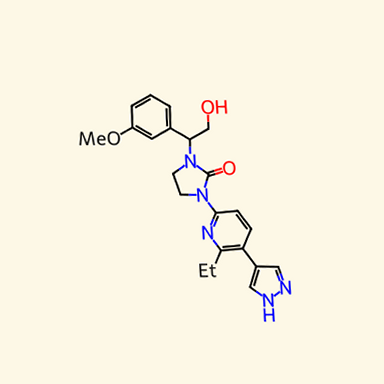 CCc1nc(N2CCN(C(CO)c3cccc(OC)c3)C2=O)ccc1-c1cn[nH]c1